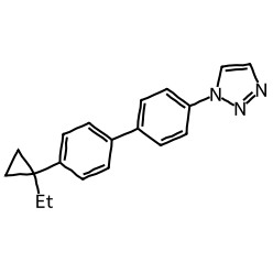 CCC1(c2ccc(-c3ccc(-n4ccnn4)cc3)cc2)CC1